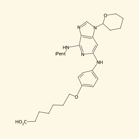 CCCC(C)Nc1nc(Nc2ccc(OCCCCCCC(=O)O)cc2)cc2c1ncn2C1CCCCO1